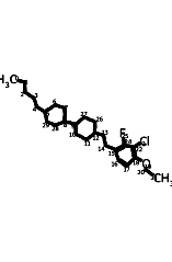 CCCCCC1CCC(C2CCC(CCc3ccc(OCC)c(Cl)c3F)CC2)CC1